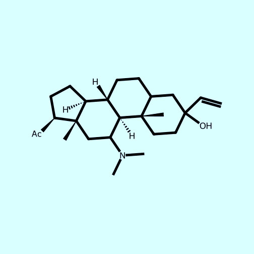 C=CC1(O)CC[C@@]2(C)C(CC[C@H]3[C@@H]4CC[C@H](C(C)=O)[C@@]4(C)CC(N(C)C)[C@@H]32)C1